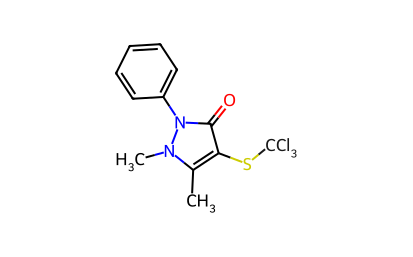 Cc1c(SC(Cl)(Cl)Cl)c(=O)n(-c2ccccc2)n1C